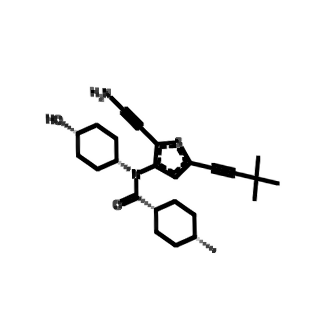 CC(C)(C)C#Cc1cc(N(C(=O)[C@H]2CC[C@@H](C)CC2)[C@H]2CC[C@@H](O)CC2)c(C#CN)s1